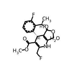 COC(=O)C1=C(CF)NC2=C(C(=O)OC2)[C@H]1c1cccc(F)c1[C@@H](C)F.O